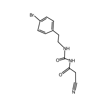 N#CCC(=O)NC(=O)NCCc1ccc(Br)cc1